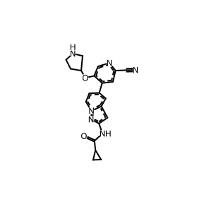 N#Cc1cc(-c2ccn3nc(NC(=O)C4CC4)cc3c2)c(OC2CCNC2)cn1